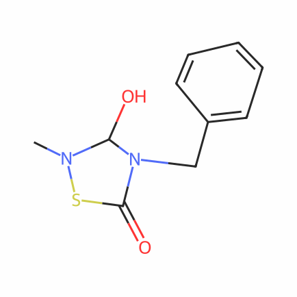 CN1SC(=O)N(Cc2ccccc2)C1O